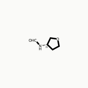 O=CN[C@H]1CCOC1